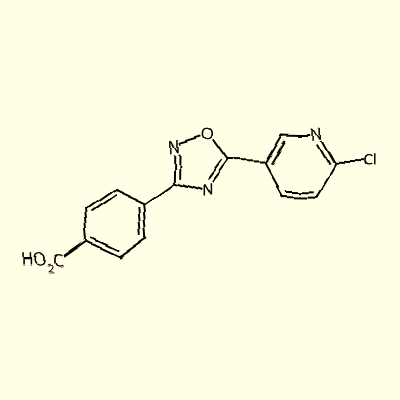 O=C(O)c1ccc(-c2noc(-c3ccc(Cl)nc3)n2)cc1